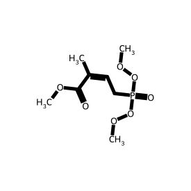 COOP(=O)(CC=C(C)C(=O)OC)OOC